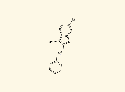 CC(C)n1c(/C=C/c2ccccc2)nc2cc(Br)ccc21